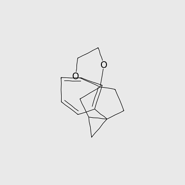 c1ccc(C23CCC4(CC2C3)OCCO4)cc1